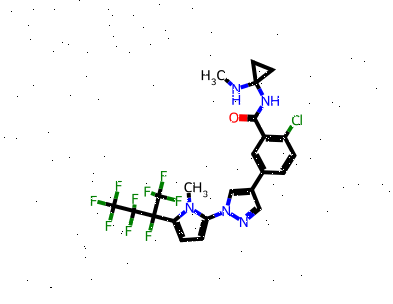 CNC1(NC(=O)c2cc(-c3cnn(-c4ccc(C(F)(C(F)(F)F)C(F)(F)C(F)(F)F)n4C)c3)ccc2Cl)CC1